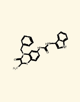 CC1Sc2ccc(NC(=O)Nc3c[nH]c4ccccc34)cc2N(Cc2ccccc2)C1=O